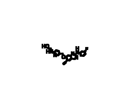 C#Cc1cc2cnc(Nc3cccc(F)c3)nc2cc1OCc1ccc(NCCO)nc1